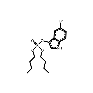 CCCCOP(=O)(OCCCC)Oc1c[nH]c2ccc(Br)cc12